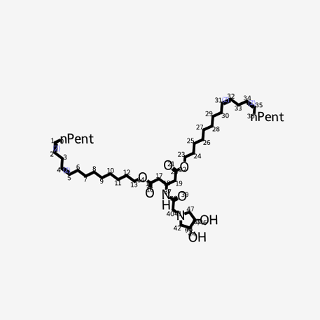 CCCCC/C=C\C/C=C\CCCCCCCCOC(=O)CC(CC(=O)OCCCCCCCC/C=C\C/C=C\CCCCC)NC(=O)CN1C[C@@H](O)[C@@H](O)C1